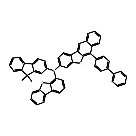 CC1(C)c2ccccc2-c2ccc(N(c3ccc4c(c3)oc3c(-c5ccc(-c6ccccc6)cc5)c5ccccc5cc34)c3cccc4c3oc3ccccc34)cc21